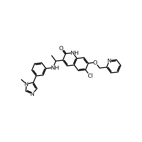 CC(Nc1cccc(-c2cncn2C)c1)c1cc2cc(Cl)c(OCc3ccccn3)cc2[nH]c1=O